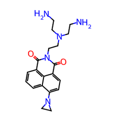 NCCN(CCN)CCN1C(=O)c2cccc3c(N4CC4)ccc(c23)C1=O